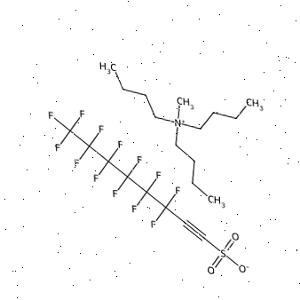 CCCC[N+](C)(CCCC)CCCC.O=S(=O)([O-])C#CC(F)(F)C(F)(F)C(F)(F)C(F)(F)C(F)(F)C(F)(F)F